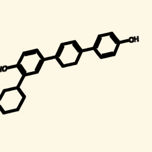 Oc1ccc(C2=CC=C(c3ccc(O)c(C4CCCCC4)c3)CC2)cc1